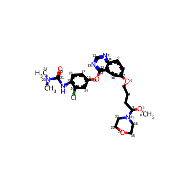 COC(CCCOc1ccc2ncnc(Oc3ccc(NC(=O)N(C)C)c(Cl)c3)c2c1)N1CCOCC1